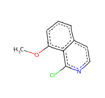 COc1cccc2ccnc(Cl)c12